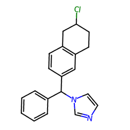 ClC1CCc2cc(C(c3ccccc3)n3ccnc3)ccc2C1